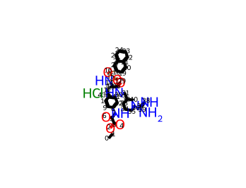 CCOC(=O)C(=O)Nc1ccc(C[C@@H](NS(=O)(=O)c2ccc3ccccc3c2)C(=O)NCC2CCCN(C(=N)N)C2)cc1.Cl